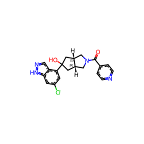 O=C(c1ccncc1)N1C[C@@H]2CC(O)(c3cc(Cl)cc4[nH]ncc34)C[C@@H]2C1